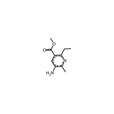 CCc1nc(C)c(N)cc1C(=O)OC